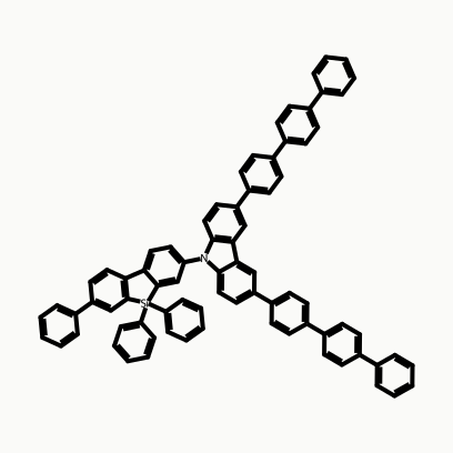 c1ccc(-c2ccc(-c3ccc(-c4ccc5c(c4)c4cc(-c6ccc(-c7ccc(-c8ccccc8)cc7)cc6)ccc4n5-c4ccc5c(c4)[Si](c4ccccc4)(c4ccccc4)c4cc(-c6ccccc6)ccc4-5)cc3)cc2)cc1